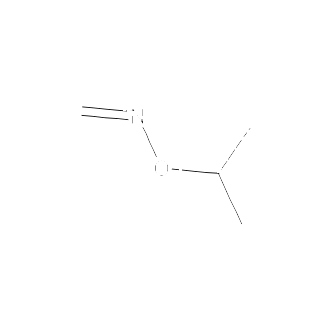 C=NOC(C)C